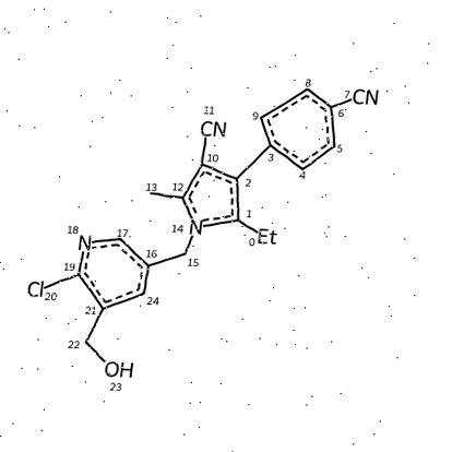 CCc1c(-c2ccc(C#N)cc2)c(C#N)c(C)n1Cc1cnc(Cl)c(CO)c1